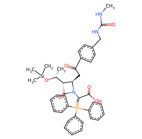 CNC(=O)NCc1ccc(C(=O)C[C@@H]2[C@@H]([C@@H](C)O[Si](C)(C)C)C(=O)N2C(C(=O)O)=P(c2ccccc2)(c2ccccc2)c2ccccc2)cc1